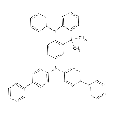 CC1(C)c2ccccc2N(c2ccccc2)c2ccc(N(c3ccc(-c4ccccc4)cc3)c3ccc(-c4ccccc4)cc3)cc21